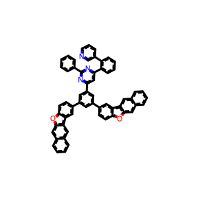 c1ccc(-c2nc(-c3cc(-c4ccc5oc6cc7ccccc7cc6c5c4)cc(-c4ccc5oc6cc7ccccc7cc6c5c4)c3)cc(-c3ccccc3-c3cccnc3)n2)cc1